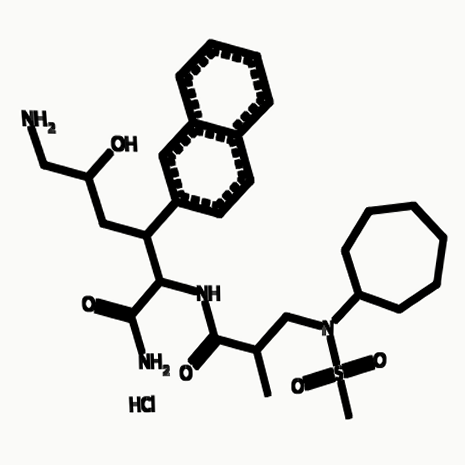 CC(CN(C1CCCCCC1)S(C)(=O)=O)C(=O)NC(C(N)=O)C(CC(O)CN)c1ccc2ccccc2c1.Cl